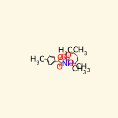 Cc1ccc(S(=O)(=O)NP2(=O)OC(C)(C)CCC(C)(C)O2)cc1